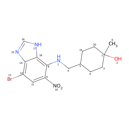 CC1(O)CCC(CNc2c([N+](=O)[O-])cc(Br)c3nc[nH]c23)CC1